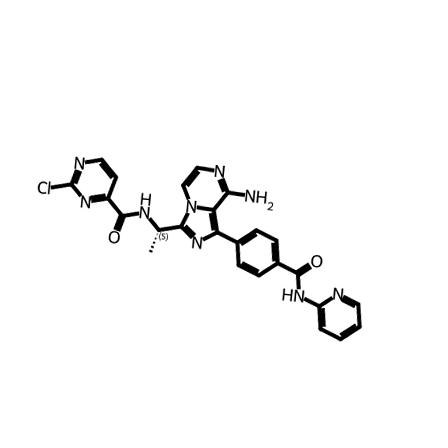 C[C@H](NC(=O)c1ccnc(Cl)n1)c1nc(-c2ccc(C(=O)Nc3ccccn3)cc2)c2c(N)nccn12